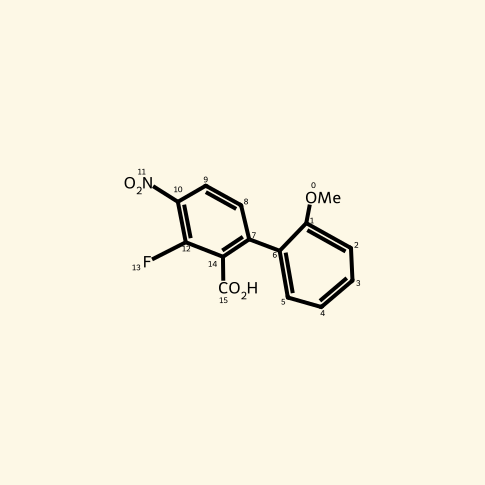 COc1ccccc1-c1ccc([N+](=O)[O-])c(F)c1C(=O)O